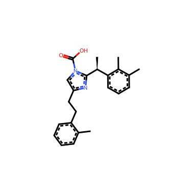 Cc1ccccc1CCc1cn(C(=O)O)c([C@@H](C)c2cccc(C)c2C)n1